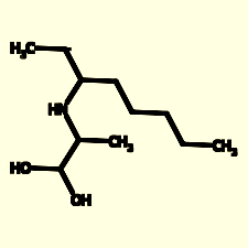 C[CH]C(CCCCC)NC(C)C(O)O